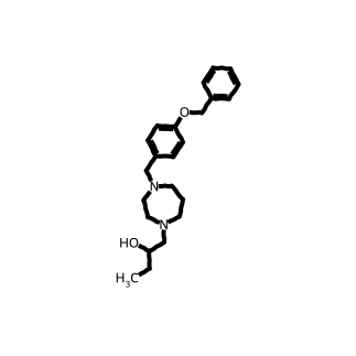 CCC(O)CN1CCCN(Cc2ccc(OCc3ccccc3)cc2)CC1